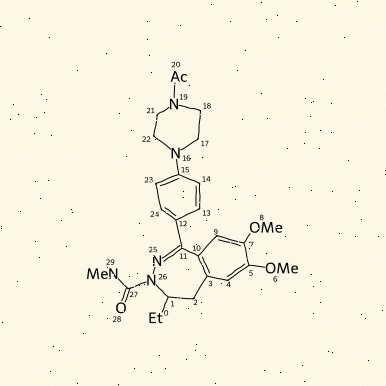 CCC1Cc2cc(OC)c(OC)cc2C(c2ccc(N3CCN(C(C)=O)CC3)cc2)=NN1C(=O)NC